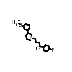 COc1cccc(C2CCCN(CCCC(=O)c3ccc(F)cc3)C2)c1